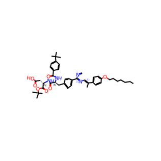 C=N/C(=N\C=C(/C)c1ccc(OCCCCCCC)cc1)c1ccc(C[C@H](NC(=O)c2ccc(C(C)(C)C)cc2)C(=O)N[C@@H](CC(=O)O)C(=O)OC(C)(C)C)cc1